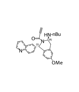 C#CC(=O)N1[C@@H](c2ccc3ncccc3c2)c2ccc(OC)cc2C[C@@H]1NCCCC